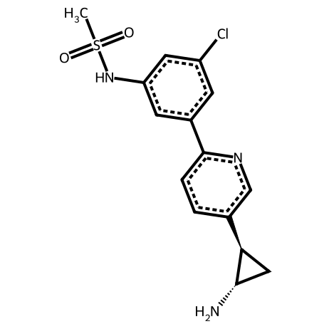 CS(=O)(=O)Nc1cc(Cl)cc(-c2ccc([C@H]3C[C@@H]3N)cn2)c1